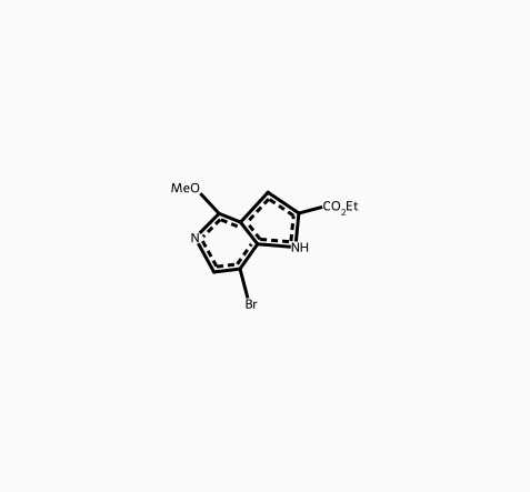 CCOC(=O)c1cc2c(OC)ncc(Br)c2[nH]1